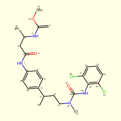 C=C(NC(CC(=O)Nc1ccc(C(C)CCN(CC)C(=O)Nc2c(Cl)cccc2Cl)cc1)C(C)C)OC(C)(C)C